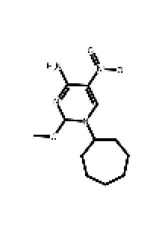 COC1N=C(N)C([N+](=O)[O-])=CN1C1CCCCCC1